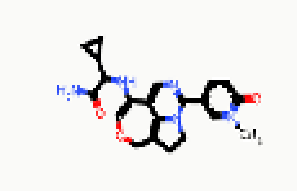 Cn1cc(C2=NC=C3C(NC(C(N)=O)C4CC4)=COCC4=C3N2CC4)ccc1=O